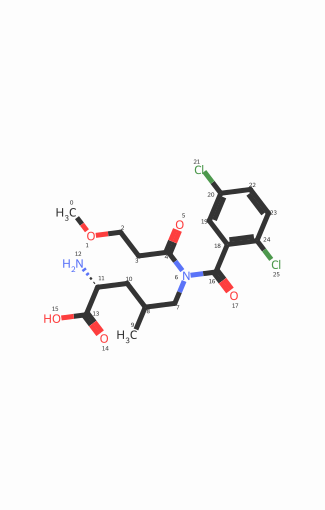 COCCC(=O)N(CC(C)C[C@@H](N)C(=O)O)C(=O)c1cc(Cl)ccc1Cl